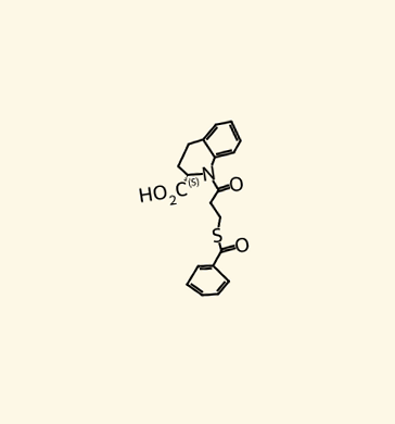 O=C(SCCC(=O)N1c2ccccc2CC[C@H]1C(=O)O)c1ccccc1